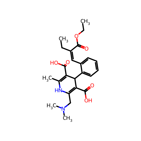 CCOC(=O)C(=Cc1ccccc1C1C(C(=O)O)=C(C)NC(CN(C)C)=C1C(=O)O)CC